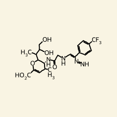 CC(C(O)CO)C1OC(C(=O)O)=CC(C)[C@H]1NC(=O)CN/C=C(\N=N)c1ccc(C(F)(F)F)cc1